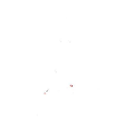 O=C(CCn1cc(C(F)(F)F)cn1)N1CCC2(O)C3Cc4ccc(O)c5c4C2(CCN3CC2CC2)[C@@H](C1)O5